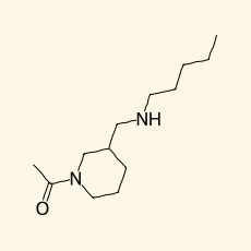 CCCCCNCC1CCCN(C(C)=O)C1